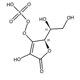 O=C1O[C@H]([C@@H](O)CO)C(OOS(=O)(=O)O)=C1O